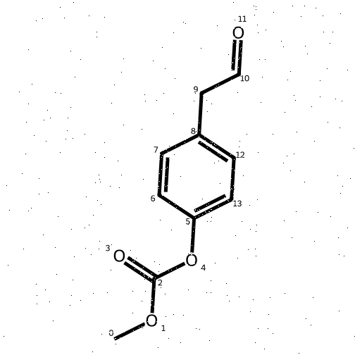 COC(=O)Oc1ccc(CC=O)cc1